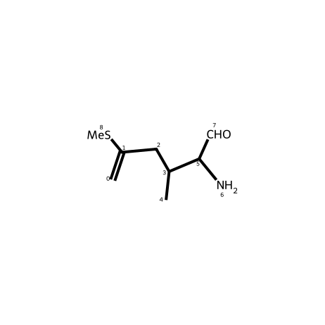 C=C(CC(C)C(N)C=O)SC